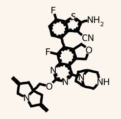 C=C1CN2CC(=C)CC2(COc2nc(N3C4CCC3CNC4)c3c4c(c(-c5ccc(F)c6sc(N)c(C#N)c56)c(F)c3n2)COC4)C1